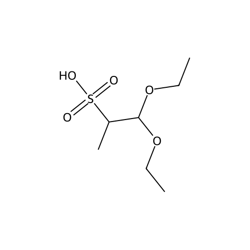 CCOC(OCC)C(C)S(=O)(=O)O